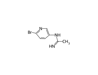 CC(=N)Nc1ccc(Br)nc1